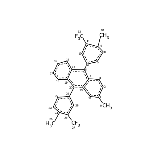 Cc1ccc2c(-c3ccc(C)c(C(F)(F)F)c3)c3ccccc3c(-c3ccc(C)c(C(F)(F)F)c3)c2c1